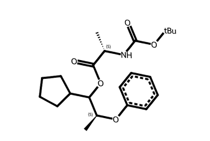 C[C@H](NC(=O)OC(C)(C)C)C(=O)OC(C1CCCC1)[C@H](C)Oc1ccccc1